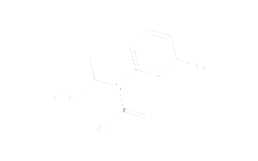 CCCCCC(C)N(C(=O)CCC)c1cccc(Br)c1